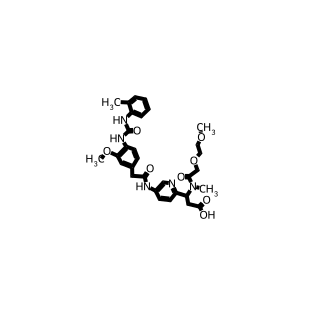 COCCOCC(=O)N(C)C(CC(=O)O)c1ccc(NC(=O)Cc2ccc(NC(=O)Nc3ccccc3C)c(OC)c2)cn1